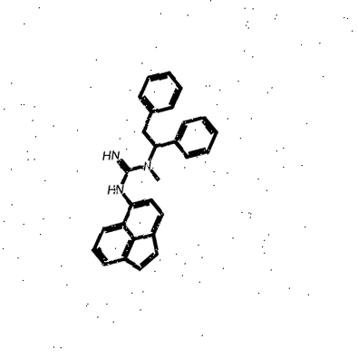 CN(C(=N)Nc1ccc2c3c(cccc13)C=C2)C(Cc1ccccc1)c1ccccc1